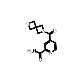 NC(=O)c1[c]c(C(=O)N2CC3(COC3)C2)ccn1